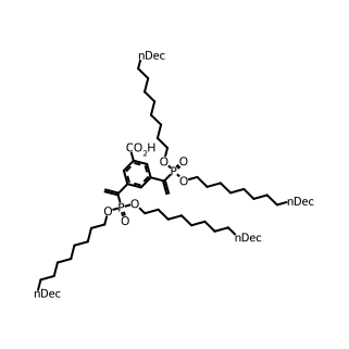 C=C(c1cc(C(=C)P(=O)(OCCCCCCCCCCCCCCCCCC)OCCCCCCCCCCCCCCCCCC)cc(C(=O)O)c1)P(=O)(OCCCCCCCCCCCCCCCCCC)OCCCCCCCCCCCCCCCCCC